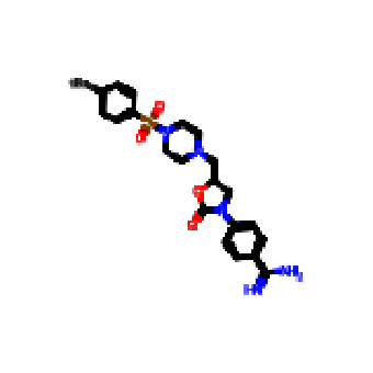 CC(C)(C)c1ccc(S(=O)(=O)N2CCN(CC3CN(c4ccc(C(=N)N)cc4)C(=O)O3)CC2)cc1